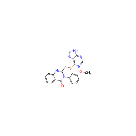 COc1cccc(-n2c(CSc3ncnc4[nH]cnc34)nc3ccccc3c2=O)c1